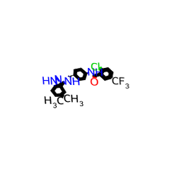 CC1(C)CCc2[nH]nc(NC[C@H]3CC[C@H](NC(=O)c4cc(C(F)(F)F)ccc4Cl)CC3)c2C1